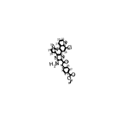 CCOC(=O)c1ccc(CC(=O)c2nc(-c3cc(Cl)c4ncccc4c3)c(-c3ccn(C)n3)nc2N)cc1